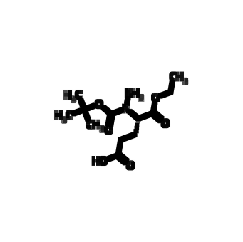 CCOC(=O)[C@H](CCC(=O)O)N(N)C(=O)OC(C)(C)C